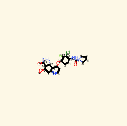 COc1cc2nccc(Oc3ccc(NC(=O)N4CCCC4)c(Cl)c3F)c2cc1C(N)=O